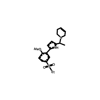 CCS(=O)(=O)c1ccc(OC)c(-c2ccc(C(C)N3CC=CCC3)[nH]2)c1